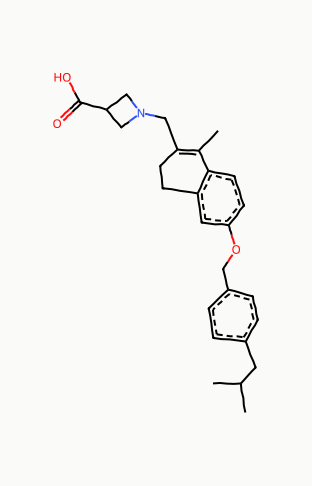 CC1=C(CN2CC(C(=O)O)C2)CCc2cc(OCc3ccc(CC(C)C)cc3)ccc21